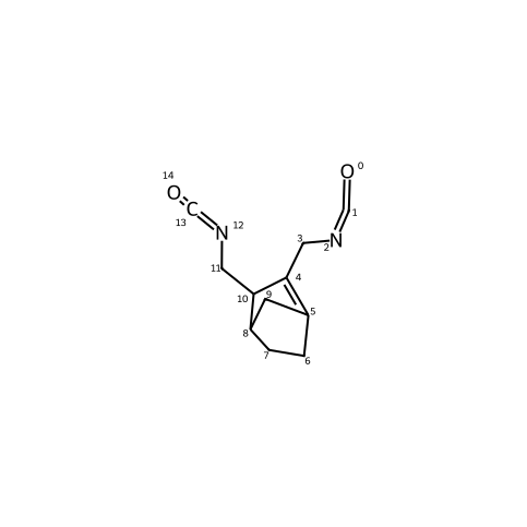 O=C=NCC1=C2CCC(C2)C1CN=C=O